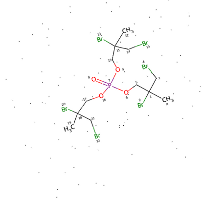 CC(Br)(CBr)COP(=O)(OCC(C)(Br)CBr)OCC(C)(Br)CBr